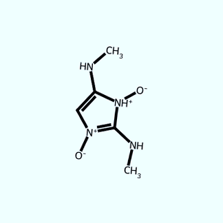 CNC1=C[N+]([O-])=C(NC)[NH+]1[O-]